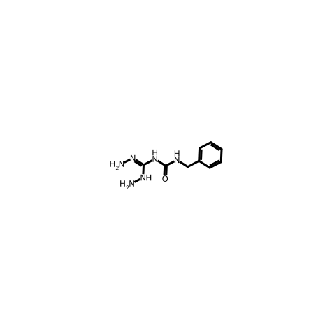 N/N=C(\NN)NC(=O)NCc1ccccc1